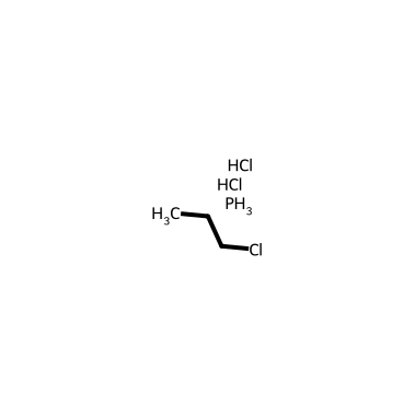 CCCCl.Cl.Cl.P